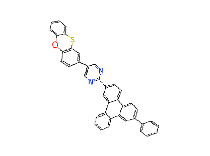 c1ccc(-c2ccc3c4ccc(-c5ncc(-c6ccc7c(c6)Sc6ccccc6O7)cn5)cc4c4ccccc4c3c2)cc1